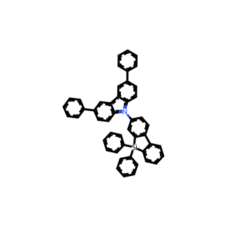 c1ccc(-c2ccc3c(c2)c2cc(-c4ccccc4)ccc2n3-c2ccc3c(c2)[Si](c2ccccc2)(c2ccccc2)c2ccccc2-3)cc1